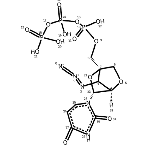 [N-]=[N+]=NC1[C@H]2OC[C@]1(COP(=O)(O)OP(=O)(O)OP(=O)(O)O)O[C@H]2n1ccc(=O)[nH]c1=O